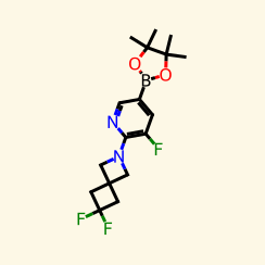 CC1(C)OB(c2cnc(N3CC4(C3)CC(F)(F)C4)c(F)c2)OC1(C)C